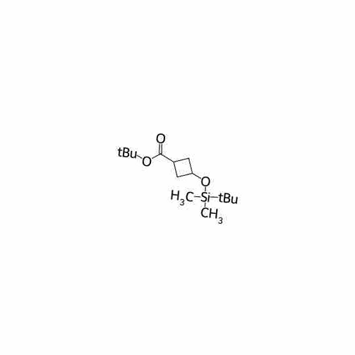 CC(C)(C)OC(=O)C1CC(O[Si](C)(C)C(C)(C)C)C1